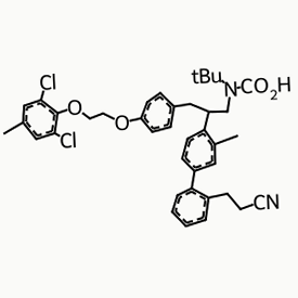 Cc1cc(Cl)c(OCCOc2ccc(CC(CN(C(=O)O)C(C)(C)C)c3ccc(-c4ccccc4CCC#N)cc3C)cc2)c(Cl)c1